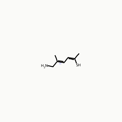 CC(S)=C/C=C(\C)CN